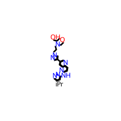 CC(C)c1cnnc(Nc2ccc3ncc(-c4cnn(CCCN5CCOCC5CO)c4)cc3n2)c1